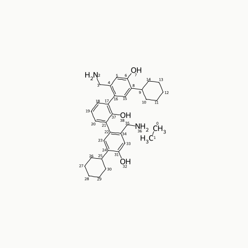 CC.NCc1cc(O)c(C2CCCCC2)cc1-c1cccc(-c2cc(C3CCCCC3)c(O)cc2CN)c1O